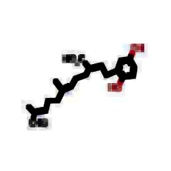 C/C(C=O)=C\CC/C(C)=C/CCC(=CCc1cc(O)ccc1O)C(=O)O